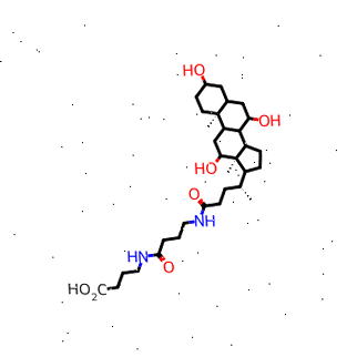 C[C@H](CCC(=O)NCCCC(=O)NCCCC(=O)O)C1CCC2C3C(O)CC4CC(O)CC[C@]4(C)C3CC(O)[C@@]21C